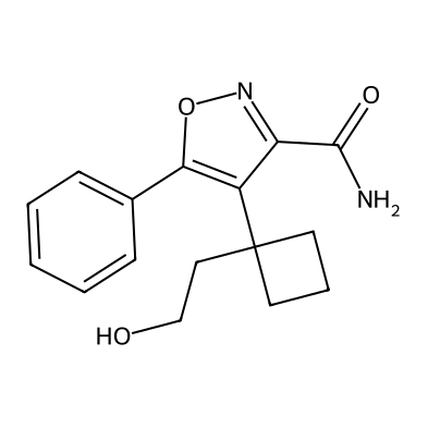 NC(=O)c1noc(-c2ccccc2)c1C1(CCO)CCC1